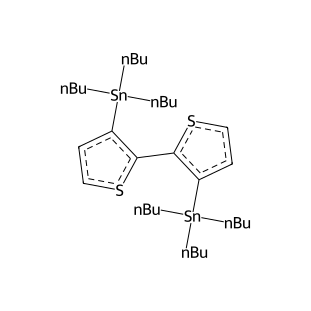 CCC[CH2][Sn]([CH2]CCC)([CH2]CCC)[c]1ccsc1-c1scc[c]1[Sn]([CH2]CCC)([CH2]CCC)[CH2]CCC